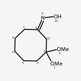 COC1(OC)CCCCCC(=NO)C1